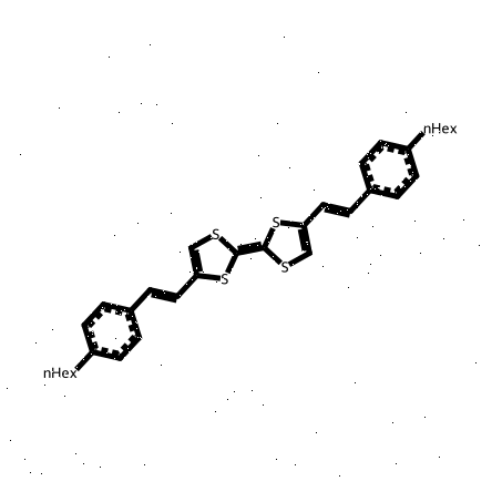 CCCCCCc1ccc(/C=C/C2=CS/C(=C3/SC=C(/C=C/c4ccc(CCCCCC)cc4)S3)S2)cc1